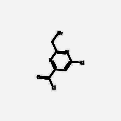 CC(C)Cc1nc(Cl)cc(C(=O)Cl)n1